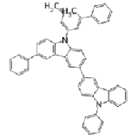 C=C/C=C(\C=C(/C)c1ccccc1)n1c2ccc(-c3ccccc3)cc2c2cc(-c3ccc4c(c3)c3ccccc3n4-c3ccccc3)ccc21